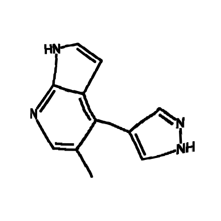 Cc1cnc2[nH]ccc2c1-c1cn[nH]c1